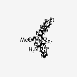 CCCc1nn(Cc2nccn2C)c(C(N)=O)c1NC(=O)c1cc(S(=O)(=O)N2CCN(CC)CC2)cnc1OCCOC